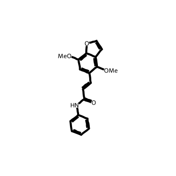 COc1c(/C=C/C(=O)Nc2ccccc2)cc(OC)c2occc12